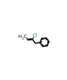 [CH2]C=C(Cl)Cc1ccccc1